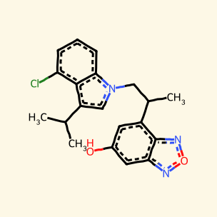 CC(C)c1cn(CC(C)c2cc(O)cc3nonc23)c2cccc(Cl)c12